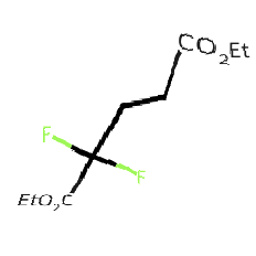 CCOC(=O)CCC(F)(F)C(=O)OCC